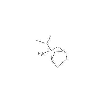 CC(C)C1(N)CC2CCC1C2